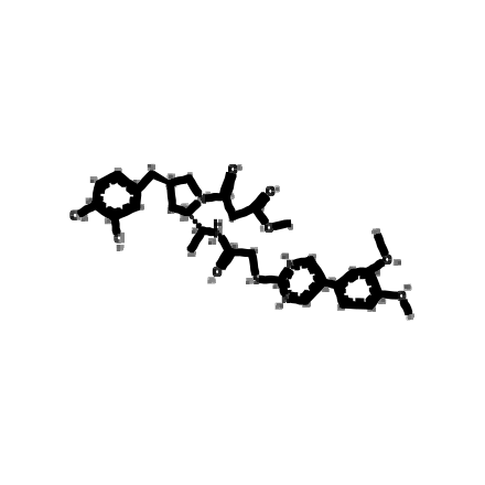 COC(=O)CC(=O)N1C[C@H](Cc2ccc(Cl)c(Cl)c2)C[C@H]1C(C)NC(=O)CSc1ncc(-c2ccc(OC)c(OC)c2)cn1